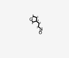 O=NCCC1CCOC1